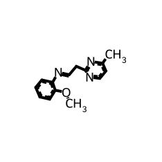 COc1ccccc1N=CCc1nccc(C)n1